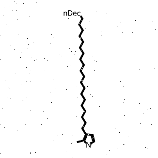 CCCCCCCCCCCCCCCCCCCCCCCCCCCCCCC1=C(C)[N]C=C1